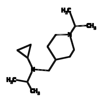 CC(C)N1CCC(CN(C(C)C)C2CC2)CC1